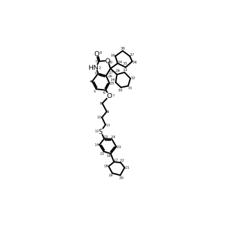 O=C1Nc2ccc(OCCCCSc3ccc(C4CCCCC4)cc3)cc2C(C2CCCCC2)(C2CCCCC2)O1